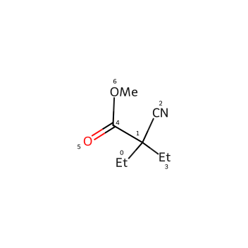 CCC(C#N)(CC)C(=O)OC